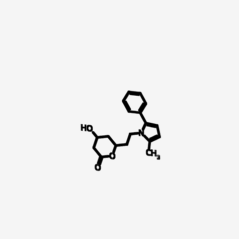 Cc1ccc(-c2ccccc2)n1CCC1CC(O)CC(=O)O1